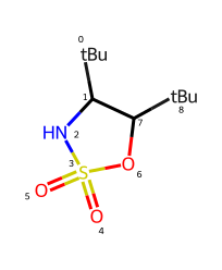 CC(C)(C)C1NS(=O)(=O)OC1C(C)(C)C